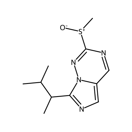 CC(C)C(C)c1ncc2cnc([S+](C)[O-])nn12